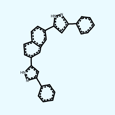 c1ccc(-c2cc(-c3ccc4ccc(-c5cc(-c6ccccc6)n[nH]5)cc4c3)[nH]n2)cc1